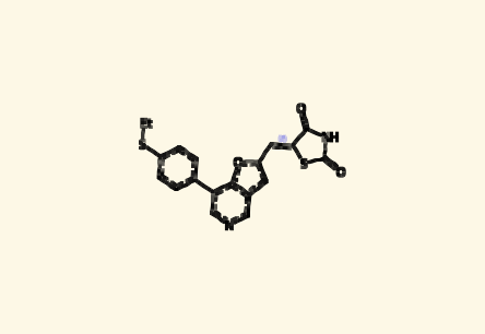 CCSc1ccc(-c2cncc3cc(/C=C4\SC(=O)NC4=O)oc23)cc1